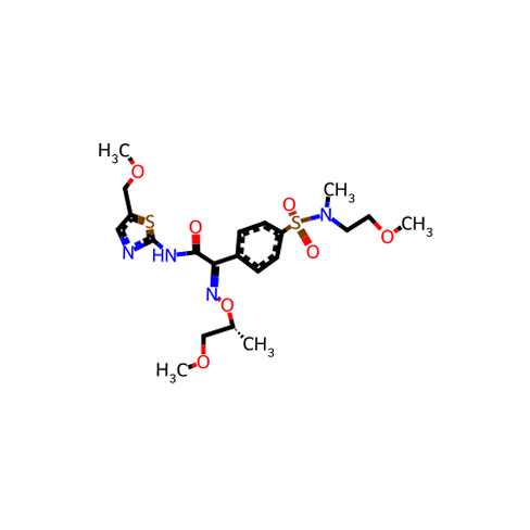 COCCN(C)S(=O)(=O)c1ccc(/C(=N\O[C@H](C)COC)C(=O)Nc2ncc(COC)s2)cc1